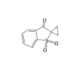 O=C1c2ccccc2S(=O)(=O)C12CC2